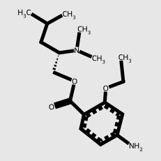 CCOc1cc(N)ccc1C(=O)OC[C@H](CC(C)C)N(C)C